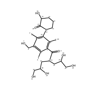 O=C(c1c(I)c(CO)c(I)c(N2CCCC(O)C2=O)c1I)N(CC(O)CO)CC(O)CO